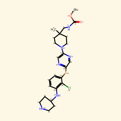 CC1(CNC(=O)OC(C)(C)C)CCN(c2cnc(Sc3cccc(NC4CCNCC4)c3Cl)cn2)CC1